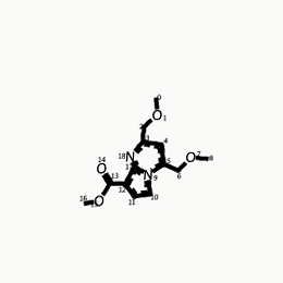 COCc1cc(COC)n2ccc(C(=O)OC)c2n1